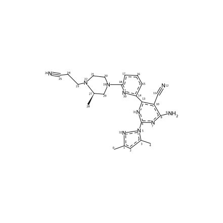 Cc1cc(C)n(-c2nc(N)c(C#N)c(-c3cccc(N4CCN(CCC#N)[C@H](C)C4)n3)n2)n1